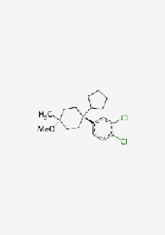 CO[C@]1(C)CC[C@](c2ccc(Cl)c(Cl)c2)(C2CCCC2)CC1